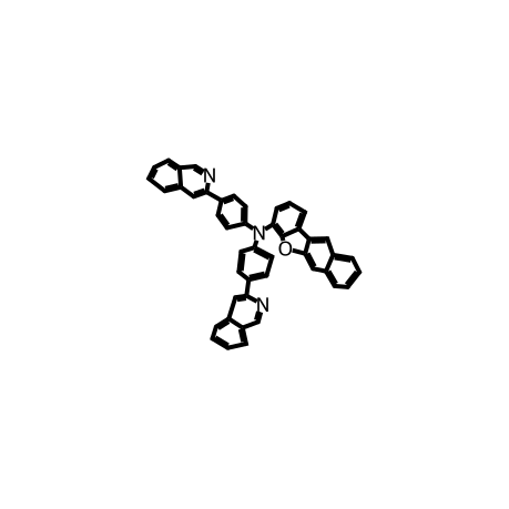 c1ccc2cc(-c3ccc(N(c4ccc(-c5cc6ccccc6cn5)cc4)c4cccc5c4oc4cc6ccccc6cc45)cc3)ncc2c1